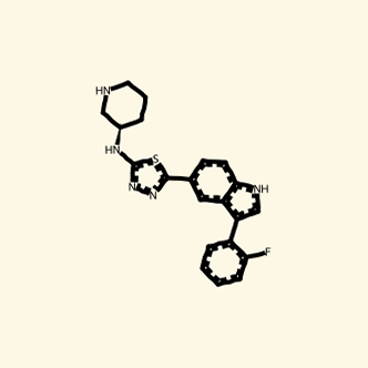 Fc1ccccc1-c1c[nH]c2ccc(-c3nnc(N[C@@H]4CCCNC4)s3)cc12